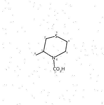 CC1CSCCN1C(=O)O